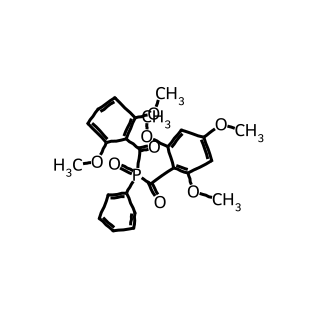 COc1cc(OC)c(C(=O)P(=O)(C(=O)c2c(OC)cccc2OC)c2ccccc2)c(OC)c1